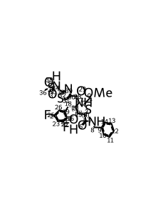 COCCS[C@@H](C(=O)NCc1ccccc1)[C@H](O)[C@H](Cc1cc(F)cc(F)c1)NC(=O)c1csc(NS(C)(=O)=O)n1